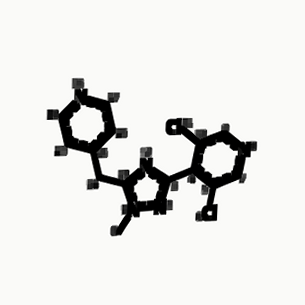 Cn1nc(-c2c(Cl)cncc2Cl)nc1Cc1ccncc1